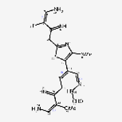 CNc1nc(CC(=N)/C(F)=C\N)sc1C(/C=N\NC=O)=C/CC(=N)/C(=C\N)OC